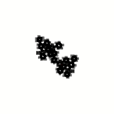 c1ccc(-c2nc(-c3cccc(-c4cccc(-c5cccc(N6c7ccccc7NC6c6ccc(-c7ccccc7)c7c6oc6c(-c8nc(-c9ccccc9)nc(-c9ccccc9)n8)cccc67)c5)c4)c3)nc(-c3cccc4c3oc3c(C5Nc6ccccc6N5c5ccccc5)ccc(-c5ccccc5)c34)n2)cc1